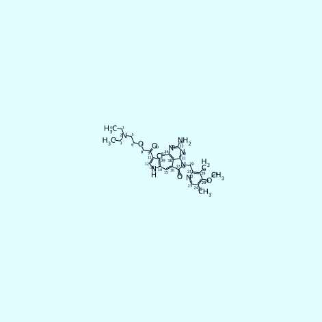 CCN(CC)CCOCC(=O)c1c[nH]c(/C=C2/C(=O)N(Cc3ncc(C)c(OC)c3C)c3nc(N)nc(Cl)c32)c1